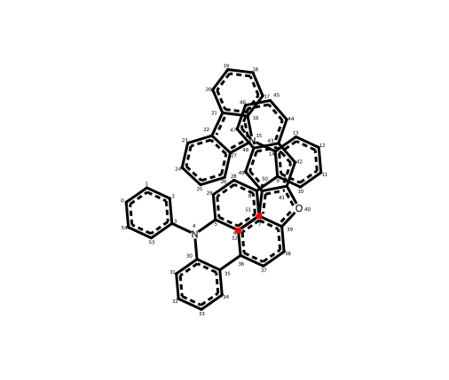 c1ccc(N(c2ccc(-c3ccccc3-n3c4ccccc4c4ccccc43)cc2)c2ccccc2-c2ccc3oc4cc5ccccc5cc4c3c2)cc1